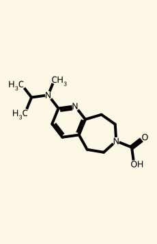 CC(C)N(C)c1ccc2c(n1)CCN(C(=O)O)CC2